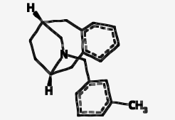 Cc1cccc(CN2C[C@@H]3CC[C@H]2Cc2ccccc2C3)c1